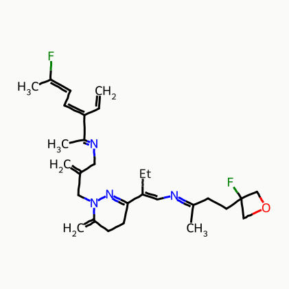 C=CC(=C\C=C(/C)F)/C(C)=N/CC(=C)CN1N=C(/C(=C/N=C(\C)CCC2(F)COC2)CC)CCC1=C